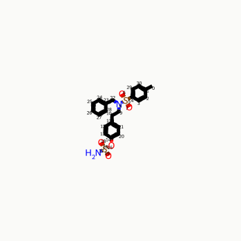 Cc1ccc(S(=O)(=O)N(CCc2ccc(OS(N)(=O)=O)cc2)Cc2ccccc2)cc1